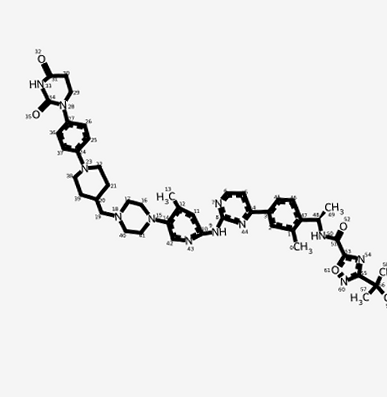 Cc1cc(-c2ccnc(Nc3cc(C)c(N4CCN(CC5CCN(c6ccc(N7CCC(=O)NC7=O)cc6)CC5)CC4)cn3)n2)ccc1[C@@H](C)NC(=O)c1nc(C(C)(C)C)no1